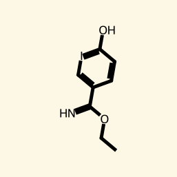 CCOC(=N)C1=CI=C(O)C=C1